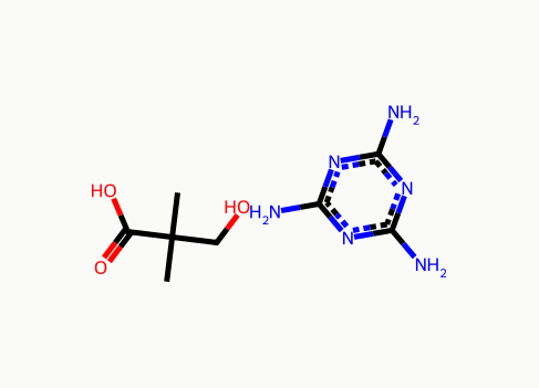 CC(C)(CO)C(=O)O.Nc1nc(N)nc(N)n1